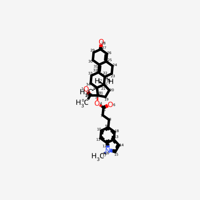 CC(=O)[C@@]1(OC(=O)CCc2ccc3c(ccn3C)c2)CC[C@H]2[C@@H]3CCC4=CC(=O)CCC4=C3CC[C@@]21C